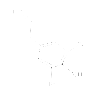 C=CCc1cc(Br)c(O)c(Br)c1